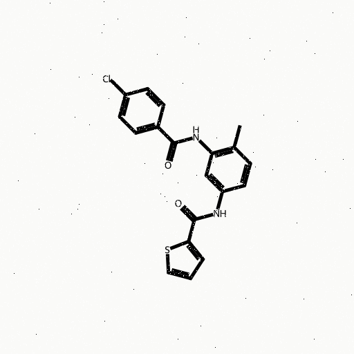 Cc1ccc(NC(=O)c2cccs2)cc1NC(=O)c1ccc(Cl)cc1